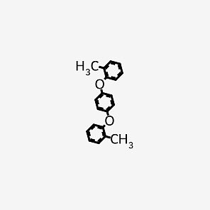 Cc1ccccc1Oc1ccc(Oc2ccccc2C)cc1